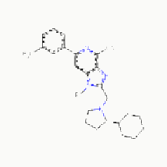 CCn1c(CN2CCC[C@@H]2C2CCCCC2)nc2c(C#N)nc(-c3cccc(C(F)(F)F)c3)cc21